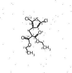 CCOC(=O)C(Cc1cc(Cl)sc1Cl)C(=O)OCC